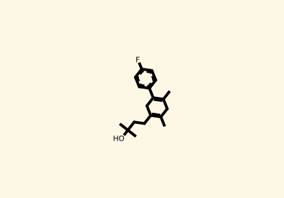 CC1=C(CCC(C)(C)O)CC(c2ccc(F)cc2)=C(C)C1